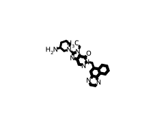 CCn1c(N2CCCC(N)C2)nc2cnn(Cc3cc4nccnc4c4ccccc34)c(=O)c21